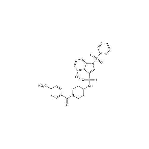 O=C(O)c1ccc(C(=O)N2CCC(NS(=O)(=O)c3cn(S(=O)(=O)c4ccccc4)c4cccc(C(F)(F)F)c34)CC2)cc1